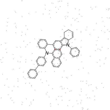 C1=Cc2c(c3cc(-c4ccccc4N(c4ccc(-c5ccccc5)cc4)c4cccc5ccccc45)ccc3n2-c2ccccc2)CC1